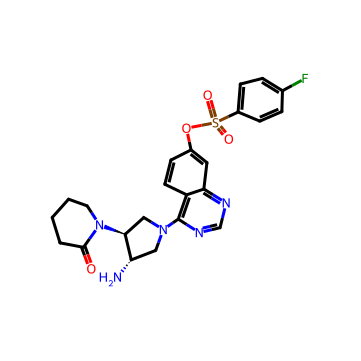 N[C@H]1CN(c2ncnc3cc(OS(=O)(=O)c4ccc(F)cc4)ccc23)C[C@@H]1N1CCCCC1=O